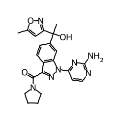 Cc1cc(C(C)(O)c2ccc3c(C(=O)N4CCCC4)nn(-c4ccnc(N)n4)c3c2)no1